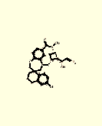 C=C[C@H](O)[C@@H]1CC[C@H]1CN1CC2(CCCc3cc(Cl)ccc32)COc2ccc(C(=O)OC(C)(C)C)cc21